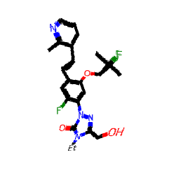 CCn1c(CO)nn(-c2cc(OCC(C)(C)F)c(/C=C/c3cccnc3C)cc2F)c1=O